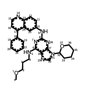 COCCCNc1nc(Nc2ccc3nccc(-c4ccccc4)c3c2)nc2c1ncn2C1CCCCO1